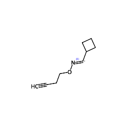 C#CCCO/N=[C]/C1CCC1